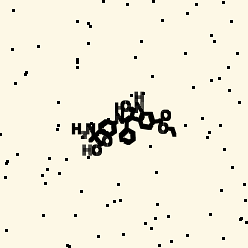 CCOC(=O)c1ccc2c(c1)NC(=O)/C2=C(\Nc1ccc(C(C)(N)C(=O)O)cc1)c1ccccc1